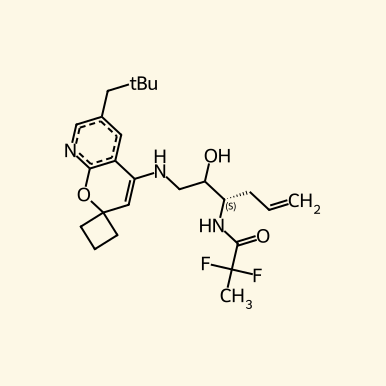 C=CC[C@H](NC(=O)C(C)(F)F)C(O)CNC1=CC2(CCC2)Oc2ncc(CC(C)(C)C)cc21